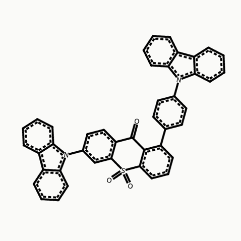 O=C1c2ccc(-n3c4ccccc4c4ccccc43)cc2S(=O)(=O)c2cccc(-c3ccc(-n4c5ccccc5c5ccccc54)cc3)c21